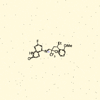 CCC(CC(O)(/C=N/c1cc(F)cc2[nH]c(=O)ccc12)C(F)(F)F)c1ccccc1OC